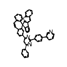 C1=Cc2ccc(-c3cc(-c4ccccc4)nc(-c4ccc(-c5cccnc5)cc4)n3)cc2C2(c3ccccc31)c1ccccc1-c1cc3ccccc3cc12